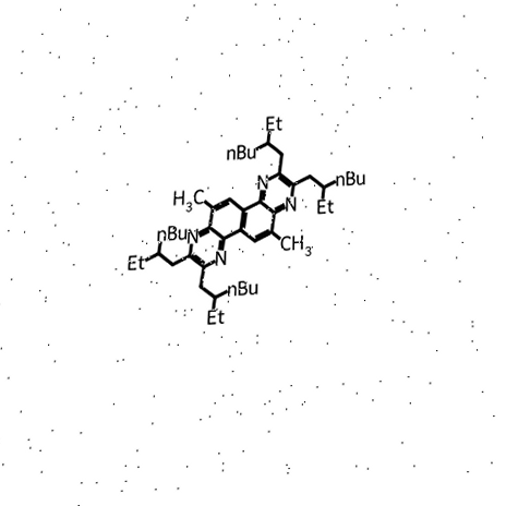 CCCCC(CC)Cc1nc2c(C)cc3c(cc(C)c4nc(CC(CC)CCCC)c(CC(CC)CCCC)nc43)c2nc1CC(CC)CCCC